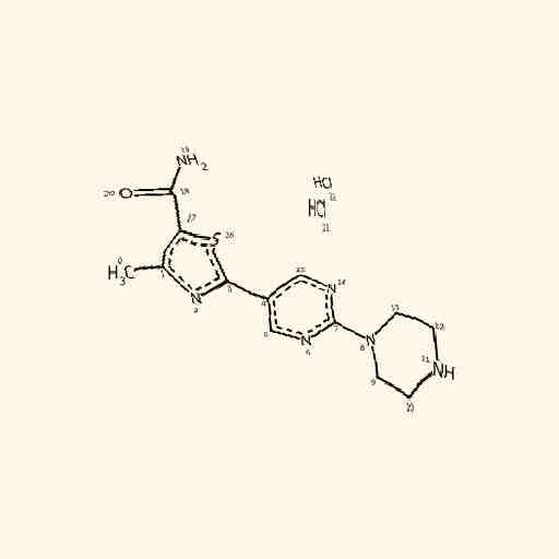 Cc1nc(-c2cnc(N3CCNCC3)nc2)sc1C(N)=O.Cl.Cl